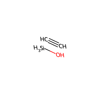 C#C.O[SiH3]